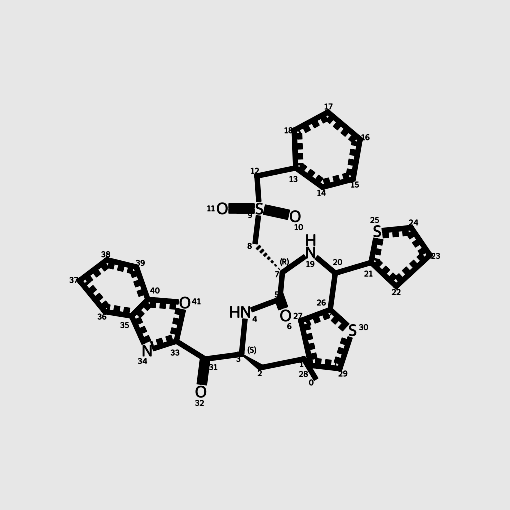 CCC[C@H](NC(=O)[C@H](CS(=O)(=O)Cc1ccccc1)NC(c1cccs1)c1cccs1)C(=O)c1nc2ccccc2o1